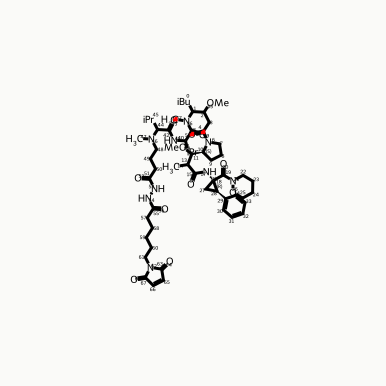 CCC(C)C(C(CC(=O)N1CCC[C@H]1C(OC)C(C)C(=O)N[C@@]1(C(=O)N2CCCCO2)C[C@@H]1c1ccccc1)OC)N(C)C(=O)C(NC(=O)C(C(C)C)N(C)CCCC(=O)NNC(=O)CCCCCN1C(=O)C=CC1=O)C(C)C